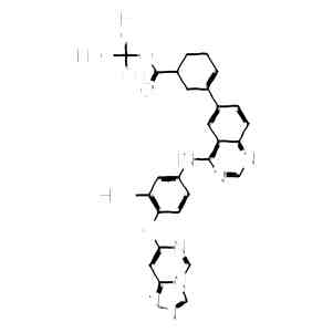 Cc1cc(Nc2ncnc3ccc(C4=CCCC(C(=O)OC(C)(C)C)C4)cc23)ccc1Oc1cc2nncn2cn1